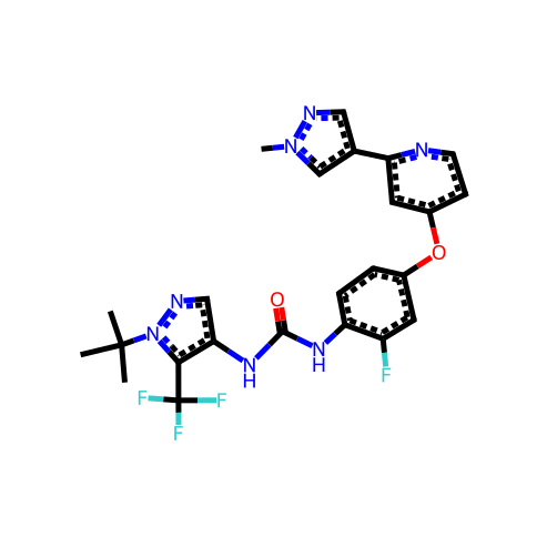 Cn1cc(-c2cc(Oc3ccc(NC(=O)Nc4cnn(C(C)(C)C)c4C(F)(F)F)c(F)c3)ccn2)cn1